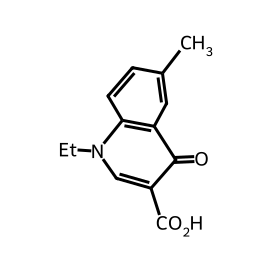 CCn1cc(C(=O)O)c(=O)c2cc(C)ccc21